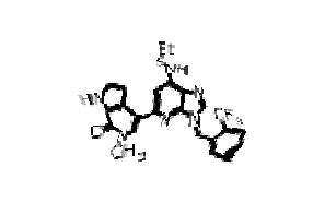 CCSNc1cc(-c2cn(C)c(=O)c3[nH]ccc23)nc2c1ncn2Cc1ccccc1C(F)(F)F